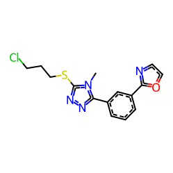 Cn1c(SCCCCl)nnc1-c1cccc(-c2ncco2)c1